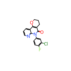 O=c1c2c(c3cccnc3n1-c1ccc(F)c(Cl)c1)OCCC2